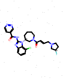 O=C(Nc1nc2cccc(Cl)c2n1[C@@H]1CCCCN(C(=O)C=CCN2CC[C@@H](F)C2)C1)c1ccnnc1